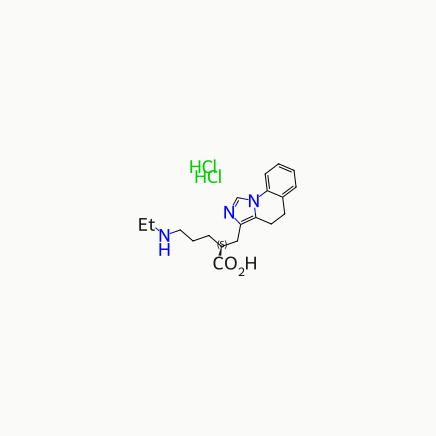 CCNCCC[C@@H](Cc1ncn2c1CCc1ccccc1-2)C(=O)O.Cl.Cl